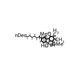 CCCCCCCCCCCCCCCCc1ccc(C(O)(c2c(C)c(OC)c(C)c(C)c2OC)C(C)C)cc1